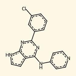 Clc1cccc(-c2nc(Nc3ccncc3)c3cc[nH]c3n2)c1